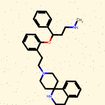 CNCCC(Oc1ccccc1CCN1CCC2(CC1)NCCc1ccccc12)c1ccccc1